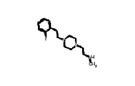 CNCCN1CCN(CCc2ccccc2F)CC1